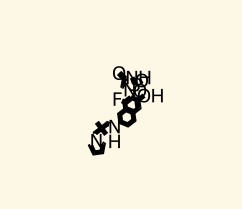 CC(C)(CN[C@@H]1CCc2cc(O)c(N3CC(=O)NS3(=O)=O)c(F)c2C1)CN1CCCC1